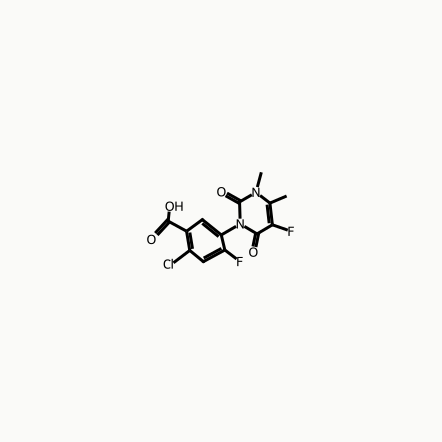 Cc1c(F)c(=O)n(-c2cc(C(=O)O)c(Cl)cc2F)c(=O)n1C